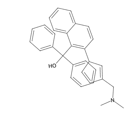 CN(C)CC1=CC(c2ccc3ccccc3c2C(O)(c2ccccc2)c2ccccc2)C=C1